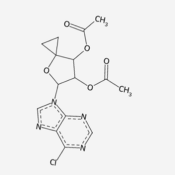 CC(=O)OC1C(n2cnc3c(Cl)ncnc32)OC2(CC2)C1OC(C)=O